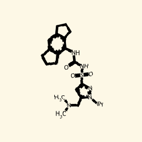 CC(C)n1nc(S(=O)(=O)NC(=O)Nc2c3c(cc4c2CCC4)CCC3)cc1CN(C)C